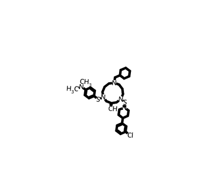 C=C1CN(Sc2ccc(N(C)C)cc2)CCCN(CC2CCCCC2)CCCN(SN2CCC(c3cccc(Cl)c3)CC2)C1